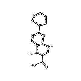 O=C(O)c1c[nH]c2nc(-c3cccnc3)ncc2c1=O